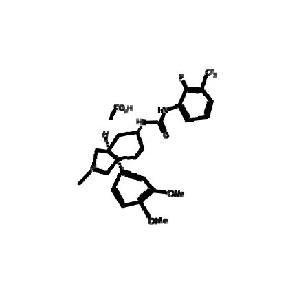 CC(=O)O.COc1ccc([C@@]23CC[C@@H](NC(=O)Nc4cccc(C(F)(F)F)c4F)C[C@@H]2CN(C)C3)cc1OC